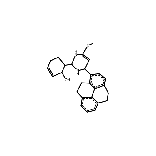 COC1=CC(c2ccc3c4c2CCc2cccc(c2-4)CC3)NC(C2CCC=CC2O)N1